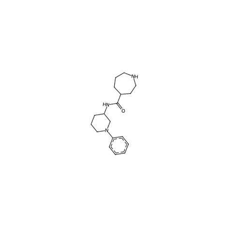 O=C(NC1CCCN(c2ccccc2)C1)C1CCCNCC1